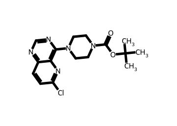 CC(C)(C)OC(=O)N1CCN(c2ncnc3ccc(Cl)nc23)CC1